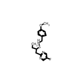 CCC(Cc1ncc(F)cn1)SNCc1ccc(OC)cc1